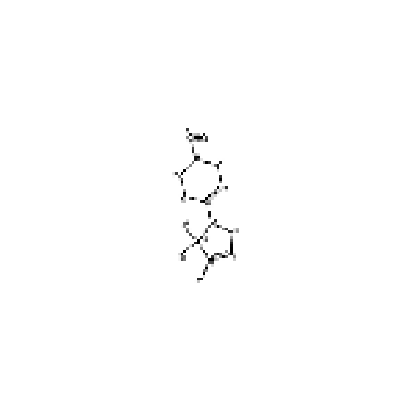 CC1=CCC(C2=CCC(C=O)CC2)C1(C)C